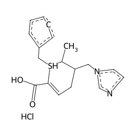 CC1C(Cn2ccnc2)CC=C(C(=O)O)[SH]1Cc1ccccc1.Cl